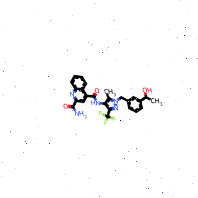 Cc1c(NC(=O)c2cc(C(N)=O)nc3ccccc23)c(C(F)(F)F)nn1Cc1cccc(C(C)O)c1